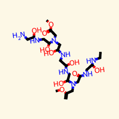 C=C(CN(CC(=O)NCC(O)NCC)C(O)CNC(O)CNC(O)CN(CC(=O)OC)C(O)CNC(O)CN)OC